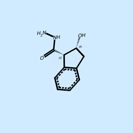 NNC(=O)[C@H]1c2ccccc2C[C@H]1O